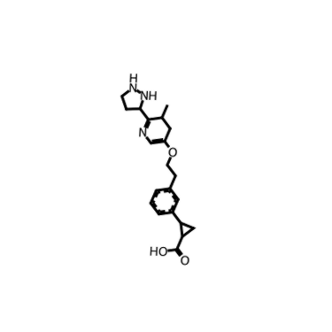 CC1CC(OCCc2cccc(C3CC3C(=O)O)c2)=CN=C1C1CCNN1